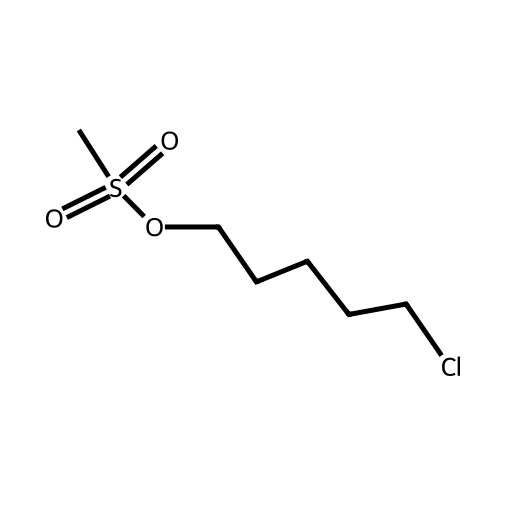 CS(=O)(=O)OCCCCCCl